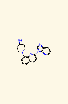 NC1CCN(c2cccc3ccc(-n4cnc5cccnc54)nc23)CC1